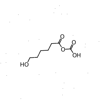 O=C(O)OC(=O)CCCCCO